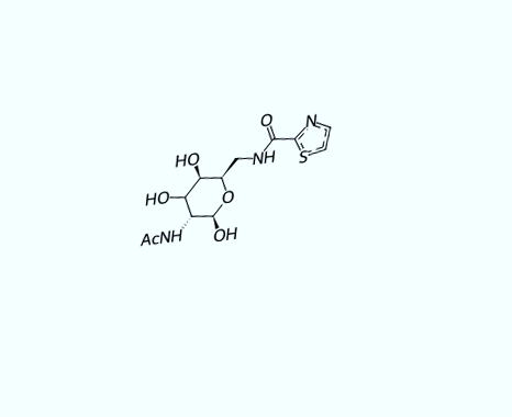 CC(=O)N[C@@H]1C(O)[C@@H](O)[C@@H](CNC(=O)c2nccs2)O[C@H]1O